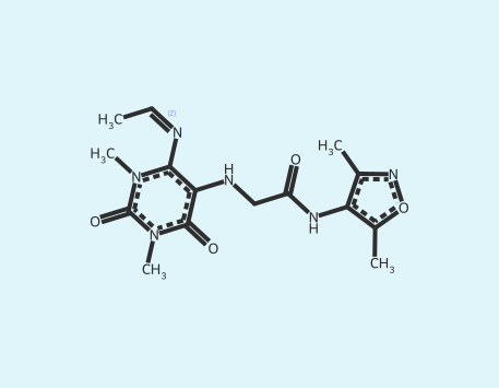 C/C=N\c1c(NCC(=O)Nc2c(C)noc2C)c(=O)n(C)c(=O)n1C